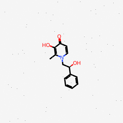 Cc1c(O)c(=O)ccn1C[C@@H](O)c1ccccc1